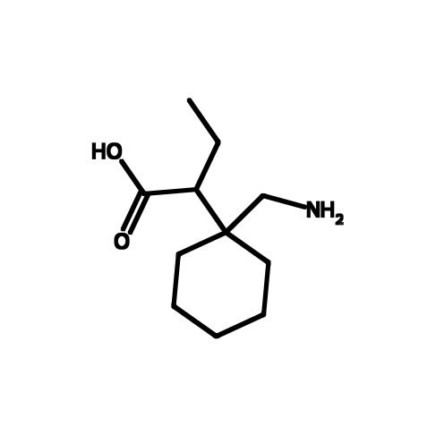 CCC(C(=O)O)C1(CN)CCCCC1